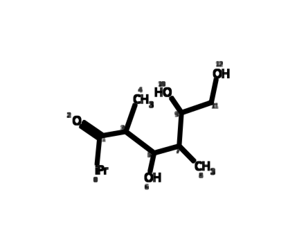 CC(C)C(=O)C(C)C(O)C(C)C(O)CO